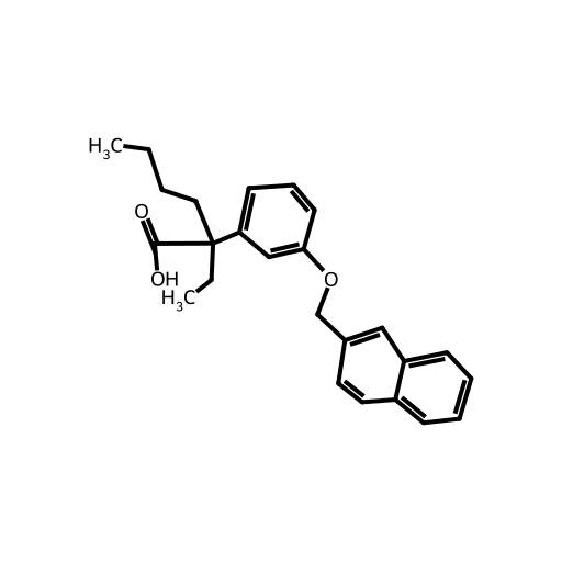 CCCCC(CC)(C(=O)O)c1cccc(OCc2ccc3ccccc3c2)c1